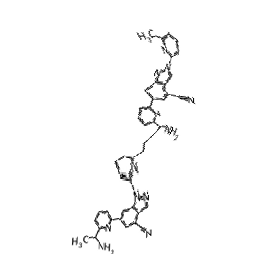 Cc1cccc(-n2cc3c(C#N)cc(-c4cccc(C(N)CCc5cccc(-n6ncc7c(C#N)cc(-c8cccc(C(C)N)n8)cc76)n5)n4)cc3n2)n1